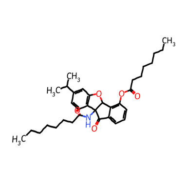 CCCCCCCC(=O)NC12C(=O)c3cccc(OC(=O)CCCCCCC)c3C1Oc1cc(C(C)C)ccc12